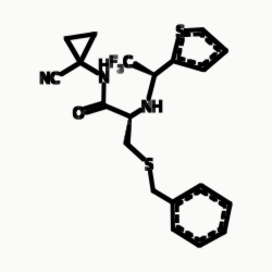 N#CC1(NC(=O)[C@H](CSCc2ccccc2)N[C@H](c2cccs2)C(F)(F)F)CC1